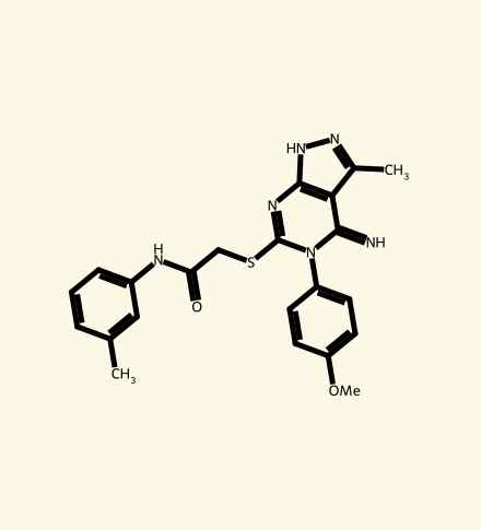 COc1ccc(-n2c(SCC(=O)Nc3cccc(C)c3)nc3[nH]nc(C)c3c2=N)cc1